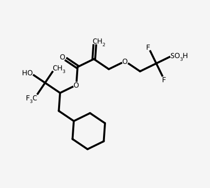 C=C(COCC(F)(F)S(=O)(=O)O)C(=O)OC(CC1CCCCC1)C(C)(O)C(F)(F)F